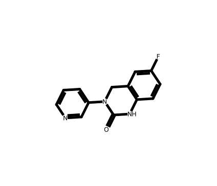 O=C1Nc2ccc(F)cc2CN1c1cccnc1